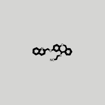 N#CCCSC1c2ccccc2COc2ccc(OCc3ccc4ccccc4n3)cc21